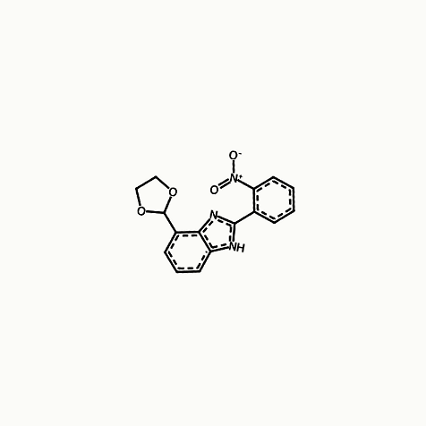 O=[N+]([O-])c1ccccc1-c1nc2c(C3OCCO3)cccc2[nH]1